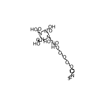 O=C(O)CN1CCN(CC(=O)O)CCN(CC(O)CNC(=O)COCCOCCOCCOCCOc2ccc(N=C=S)cc2)CCN(CC(=O)O)CC1